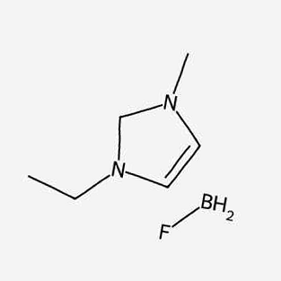 BF.CCN1C=CN(C)C1